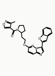 Cc1nocc1C(=O)N1CCCC1CCOc1ccc2ncc(-c3cc4ccccc4o3)n2n1